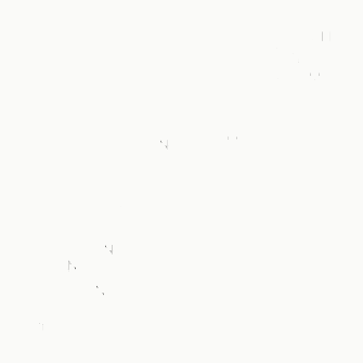 CCCc1cnc(N2CCC(c3ccc(COc4ccc(S(C)(=O)=O)cc4)nc3)CC2)nc1